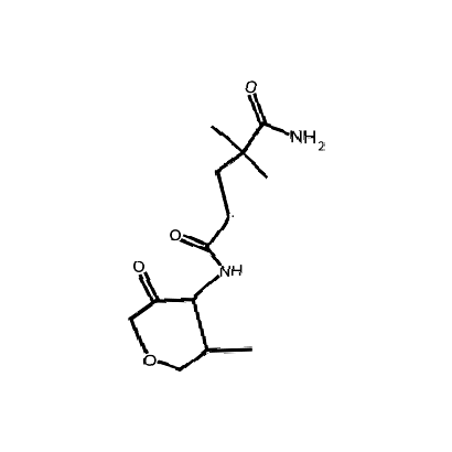 CC1COCC(=O)C1NC(=O)[CH]CC(C)(C)C(N)=O